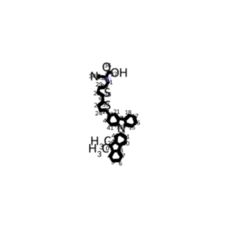 CC1(C)c2ccccc2-c2ccc(-n3c4ccccc4c4cc(-c5ccc(-c6ccc(/C=C(\C#N)C(=O)O)s6)s5)ccc43)cc21